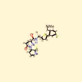 CNCc1ccc(F)cc1-c1ccc([C@@H](C)NC(=O)c2ccc(=O)n(-c3cccnc3F)n2)s1